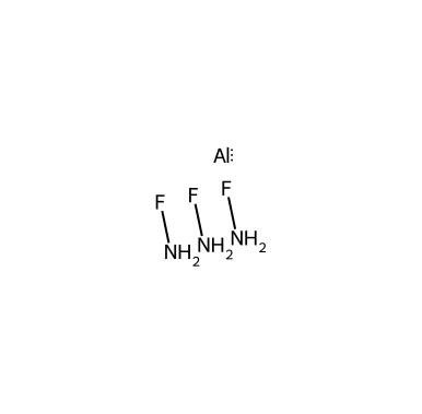 NF.NF.NF.[Al]